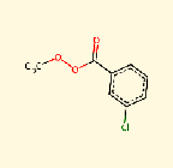 O=C(OOC(Cl)(Cl)Cl)c1cccc(Cl)c1